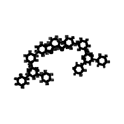 c1ccc(-c2cc(-c3ccccc3)nc(-c3cccc(-c4ccc5c(c4)oc4c5ccc5c6ccc(-c7cccc(-c8nc(-c9ccccc9)cc(-c9ccccc9)n8)c7)cc6oc54)c3)n2)cc1